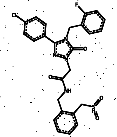 O=C(Cn1nc(-c2ccc(Cl)cc2)n(Cc2ccccc2F)c1=O)NCc1ccccc1C[SH](=O)=O